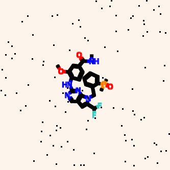 CNC(=O)c1ccc(Nc2ncc3cc(C(F)F)n(Cc4ccccc4P(C)(C)=O)c3n2)c(OC)c1